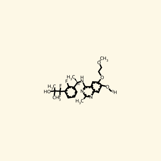 [2H]COc1cc2nc(C)nc(N[C@H](C)c3cccc(C(F)(F)C(C)(C)O)c3F)c2cc1OCCOC